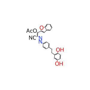 CC(=O)OC(=C(C#N)N=Nc1ccc(CCc2cc(O)ccc2O)cc1)c1cc2ccccc2o1